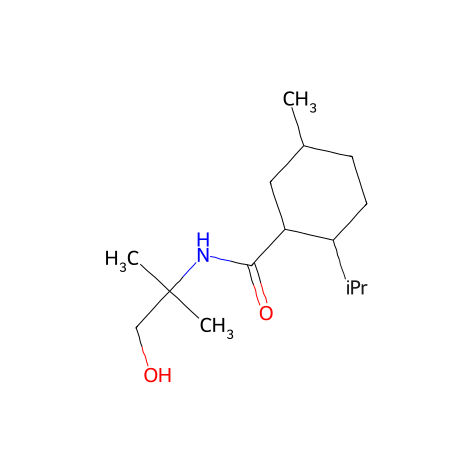 CC1CCC(C(C)C)C(C(=O)NC(C)(C)CO)C1